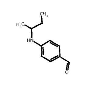 CCC(C)Nc1ccc(C=O)cc1